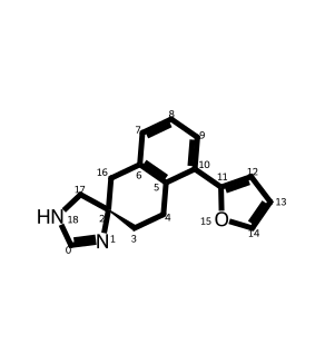 C1=N[C@]2(CCc3c(cccc3-c3ccco3)C2)CN1